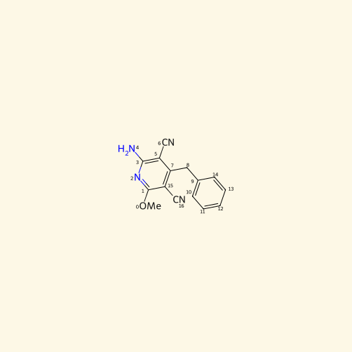 COc1nc(N)c(C#N)c(Cc2ccccc2)c1C#N